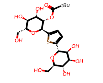 CC(C)(C)C(=O)O[C@H]1[C@@H](O)[C@H](O)[C@@H](CO)O[C@@H]1c1ccc([C@H]2O[C@H](CO)[C@@H](O)[C@H](O)[C@@H]2O)s1